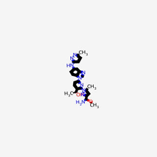 COC(N)c1cc(C)n(-c2nc(-n3cnc4cc(Nc5ccc(C)nn5)ccc43)ccc2[C@H](C)O)n1